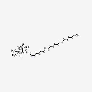 CCCCCCCCCCCCCCCCCC/C=C\CCCC(O)(C[N+](C)(C)C)P(=O)(O)O